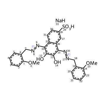 COc1ccccc1C/N=N/c1c(O)c(O)c(/N=N/Cc2ccccc2OC)c2cc(S(=O)(=O)O)ccc12.[NaH]